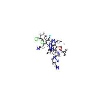 Cc1nc2c(F)c(-c3cccc(Cl)c3Cl)c(CCC#N)cc2c2c1cc(C1CC(n3ccc(C#N)n3)CN1C(=O)C1CC1)n2C1C2CNC1C2